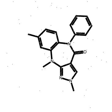 Cc1ccc2c(c1)N(C)c1nn(C)cc1C(=O)N2c1ccccc1